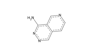 Nc1nncc2ccncc12